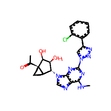 CNc1nc(-n2cc(-c3ccccc3Cl)nn2)nc2c1ncn2[C@@H]1C2C[C@]2(C(C)=O)C(O)[C@H]1O